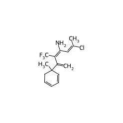 C=C(/C(=C(N)\C=C(/C)Cl)C(F)(F)F)C1(C)C=CC=CC1